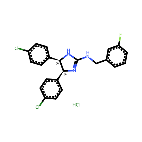 Cl.Fc1cccc(CNC2=N[C@@H](c3ccc(Cl)cc3)[C@@H](c3ccc(Cl)cc3)N2)c1